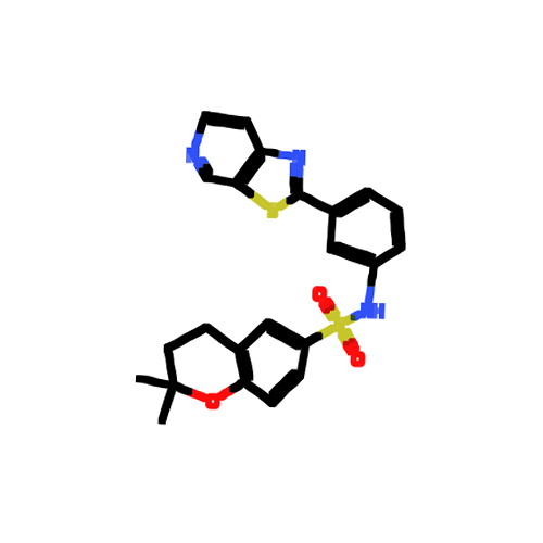 CC1(C)CCc2cc(S(=O)(=O)Nc3cccc(-c4nc5ccncc5s4)c3)ccc2O1